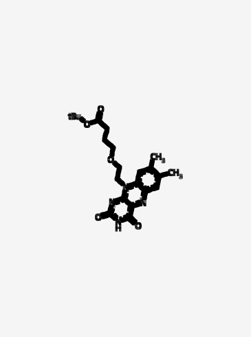 Cc1cc2nc3c(=O)[nH]c(=O)nc-3n(CCOCCCC(=O)OC(C)(C)C)c2cc1C